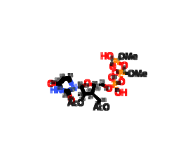 COP(=O)(O)OP(=O)(OC)OP(=O)(O)OC[C@H]1O[C@@H](n2ccc(=O)[nH]c2=O)[C@H](OC(C)=O)[C@@H]1COC(C)=O